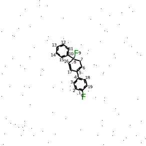 Fc1ccc(C2=CCC(F)(c3ccccc3)C=C2)cc1